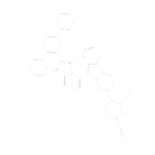 N#Cc1ccc(-c2ccc3c4ccccc4n(-c4cccc5c4C(=O)N(c4cc(-c6ccccc6)ccc4-c4ccccc4)C5=O)c3c2)c(C#N)c1